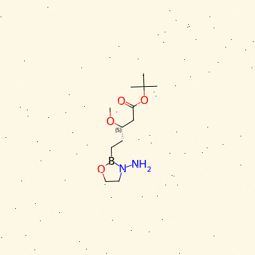 CO[C@@H](CCB1OCCN1N)CC(=O)OC(C)(C)C